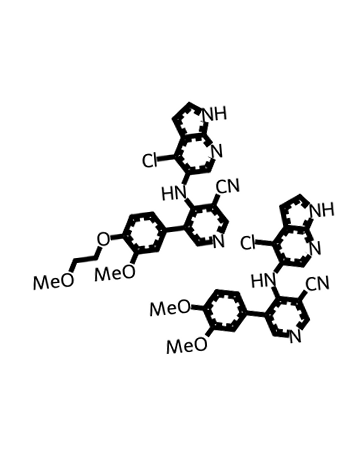 COCCOc1ccc(-c2cncc(C#N)c2Nc2cnc3[nH]ccc3c2Cl)cc1OC.COc1ccc(-c2cncc(C#N)c2Nc2cnc3[nH]ccc3c2Cl)cc1OC